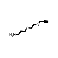 C#CCOCCOCCCN